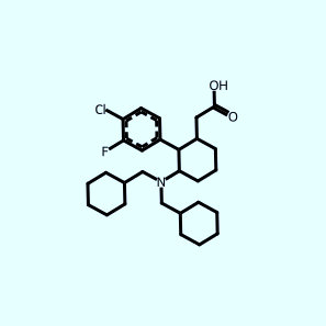 O=C(O)CC1CCCC(N(CC2CCCCC2)CC2CCCCC2)C1c1ccc(Cl)c(F)c1